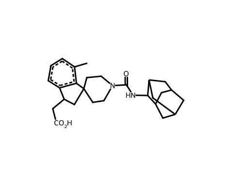 Cc1cccc2c1C1(CCN(C(=O)NC3C4CC5CC(C4)CC3C5)CC1)CC2CC(=O)O